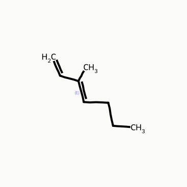 C=C/C(C)=C/CCC